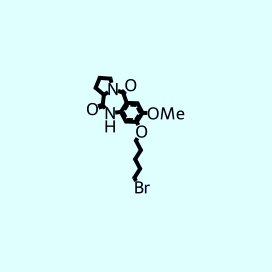 COc1cc2c(cc1OCCCCCBr)NC(=O)C1CCCN1C2=O